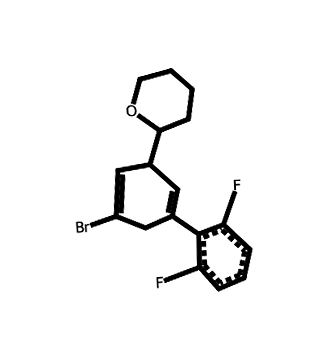 Fc1cccc(F)c1C1=CC(C2CCCCO2)C=C(Br)C1